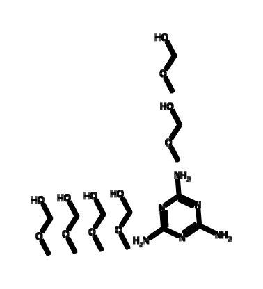 COCO.COCO.COCO.COCO.COCO.COCO.Nc1nc(N)nc(N)n1